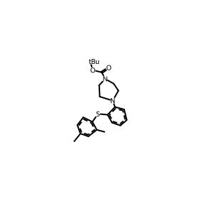 Cc1ccc(Sc2ccccc2N2CCN(C(=O)OC(C)(C)C)CC2)c(C)c1